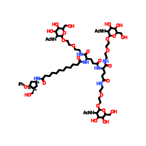 CC(=O)NC1C(OCCOCCNC(=O)CCC(NC(=O)CCC(NC(=O)CCCCCCCCCCC(=O)N[C@@H]2C[C@H](CO)[C@@H](OC(C)C)C2)C(=O)NCCOCCOC2OC(CO)C(O)C(O)C2NC(C)=O)C(=O)NCCOCCOC2OC(CO)C(O)C(O)C2NC(C)=O)OC(CO)C(O)C1O